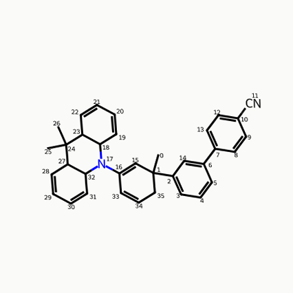 CC1(c2cccc(-c3ccc(C#N)cc3)c2)C=C(N2C3C=CC=CC3C(C)(C)C3C=CC=CC32)C=CC1